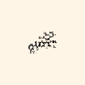 COc1ccnc(NC(=O)c2ccc(-c3nc(C4CCCCN4C(=O)OC(C)(C)C)n(N)c3C(N)=O)cc2)c1